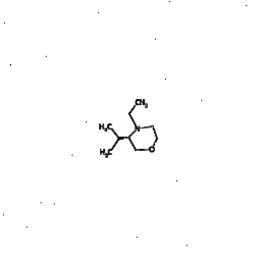 CCN1CCOC[C@H]1C(C)C